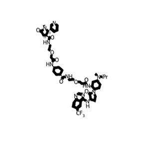 CC(C)N(C)[C@@H]1CC[C@H](N2CC[C@H](Nc3ncnc4ccc(C(F)(F)F)cc34)C2=O)[C@H](NC(=O)CCOCCNC(=O)[C@H]2CC[C@@H](NC(=O)COCCNC(=O)[C@H]3CC(=O)N(C)[C@@H]3c3cccnc3)CC2)C1